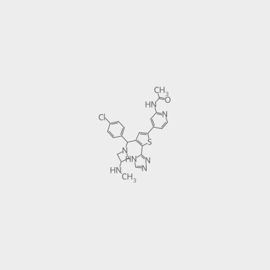 CNC1CN(C(c2ccc(Cl)cc2)c2cc(-c3ccnc(NC(C)=O)c3)sc2-c2nnc[nH]2)C1